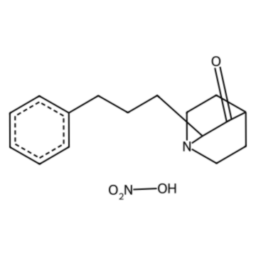 O=C1C2CCN(CC2)C1CCCc1ccccc1.O=[N+]([O-])O